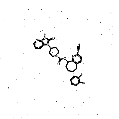 N#Cc1ccc2c(n1)[C@H](OC(=O)N1CCC(n3c(=O)[nH]c4ncccc43)CC1)CC[C@@H](c1cccc(F)c1F)C2